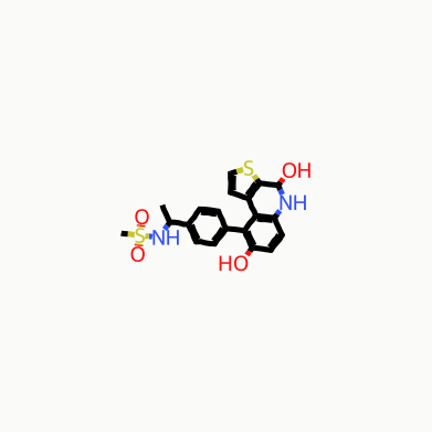 CC(NS(C)(=O)=O)c1ccc(-c2c(O)ccc3c2-c2ccsc2C(O)N3)cc1